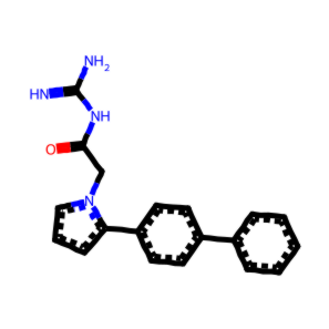 N=C(N)NC(=O)Cn1cccc1-c1ccc(-c2ccccc2)cc1